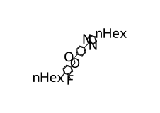 CCCCCCc1cnc(-c2ccc(C(=O)Oc3ccc(CCCCCC)c(F)c3)cc2)nc1